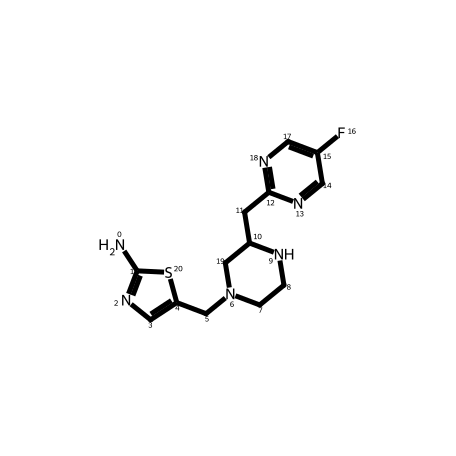 Nc1ncc(CN2CCNC(Cc3ncc(F)cn3)C2)s1